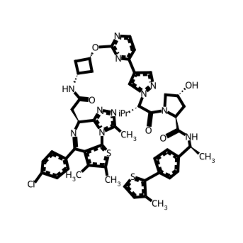 Cc1ccsc1-c1ccc([C@H](C)NC(=O)[C@@H]2C[C@@H](O)CN2C(=O)[C@H](C(C)C)n2cc(-c3ccnc(O[C@H]4C[C@@H](NC(=O)C[C@@H]5N=C(c6ccc(Cl)cc6)c6c(sc(C)c6C)-n6c(C)nnc65)C4)n3)cn2)cc1